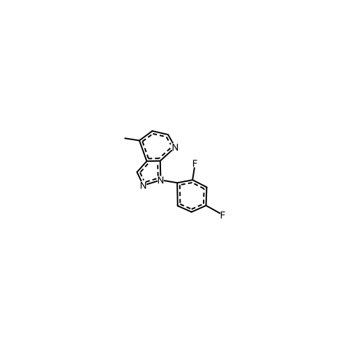 Cc1ccnc2c1cnn2-c1ccc(F)cc1F